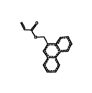 C=CC(=O)OCc1cc2ccccc2c2ccccc12